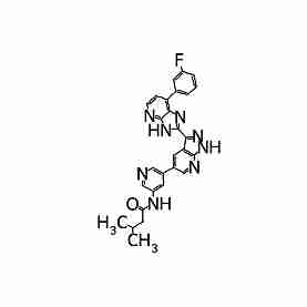 CC(C)CC(=O)Nc1cncc(-c2cnc3[nH]nc(-c4nc5c(-c6cccc(F)c6)ccnc5[nH]4)c3c2)c1